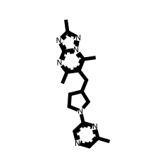 Cc1cncc(N2CCC(Cc3c(C)nc4nc(C)nn4c3C)C2)n1